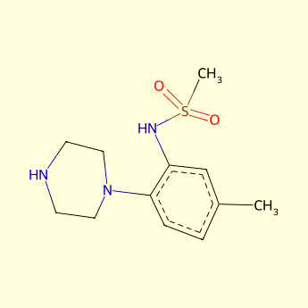 Cc1ccc(N2CCNCC2)c(NS(C)(=O)=O)c1